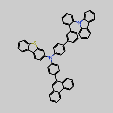 c1cc(-c2ccc(N(c3ccc(-c4cc5ccccc5c5ccccc45)cc3)c3ccc4c(c3)sc3ccccc34)cc2)cc(-c2ccccc2-n2c3ccccc3c3ccccc32)c1